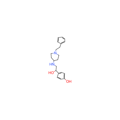 Oc1ccc(C(O)CNC2CCN(CCc3ccccc3)CC2)cc1